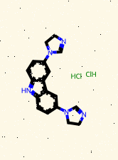 C1=NCCN1c1ccc2[nH]c3ccc(N4C=NCC4)cc3c2c1.Cl.Cl